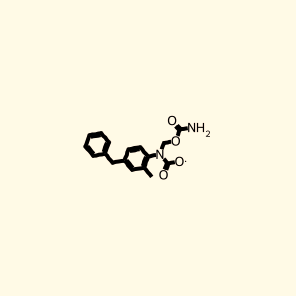 Cc1cc(Cc2ccccc2)ccc1N(COC(N)=O)C([O])=O